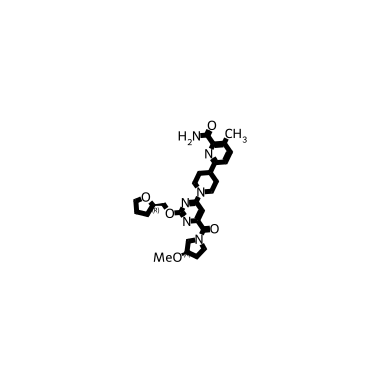 CO[C@@H]1CCN(C(=O)c2cc(N3CCC(c4ccc(C)c(C(N)=O)n4)CC3)nc(OC[C@H]3CCCO3)n2)C1